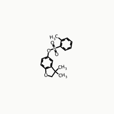 Cc1ccccc1S(=O)(=O)Oc1ccc2c(c1)C(C)(C)CO2